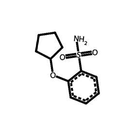 NS(=O)(=O)c1ccccc1OC1CCCC1